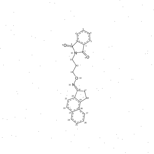 O=C1c2ccccc2C(=O)N1CCCON=C1CCc2c1ccc1ccccc21